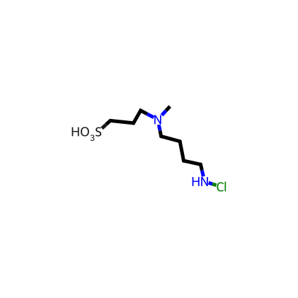 CN(CCCCNCl)CCCS(=O)(=O)O